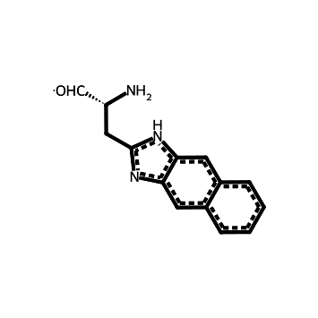 N[C@@H]([C]=O)Cc1nc2cc3ccccc3cc2[nH]1